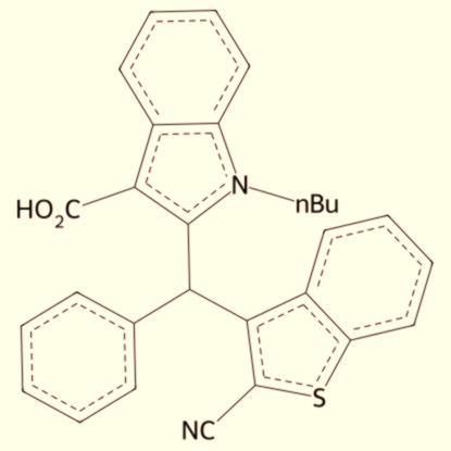 CCCCn1c(C(c2ccccc2)c2c(C#N)sc3ccccc23)c(C(=O)O)c2ccccc21